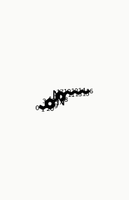 C=Cc1ccc(-c2ncc(CCCCCCC)cn2)cc1